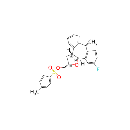 C=C1c2ccccc2[C@H]2C[C@H](COS(=O)(=O)c3ccc(C)cc3)O[C@@H]2c2cc(F)ccc21